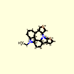 CCn1c2cccc3c4cscc4n4c5sccc5c5ccc1c(c32)c54